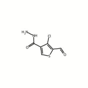 NNC(=O)c1csc([C]=O)c1Cl